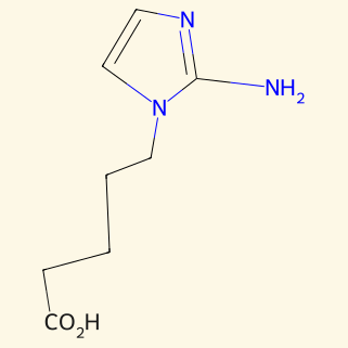 Nc1nccn1CCCCC(=O)O